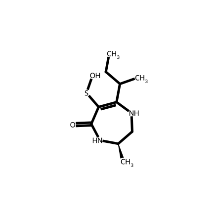 CCC(C)C1=C(SO)C(=O)N[C@H](C)CN1